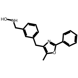 Cc1oc(-c2ccccc2)nc1Cc1cccc(CNO)c1